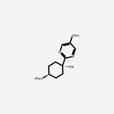 CCCCCCc1cnc([C@]2(C#N)CC[C@H](CCCCC)CC2)nc1